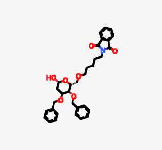 O=C1c2ccccc2C(=O)N1CCCCCOC[C@H]1O[C@@H](O)C[C@H](OCc2ccccc2)[C@H]1OCc1ccccc1